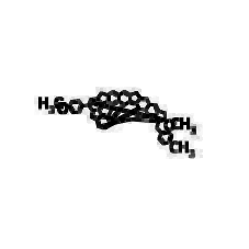 COc1ccc(C23C=C4Cc5cc6cc7c8c9c%10c%11c%12c%13c(c2c2c4c5c4c6c8c%11c4c2%13)C2(Cc4ccc(C)cc4OC)C(=C3)CC3=CC(C=C9C7)C%10C%12=C32)cc1